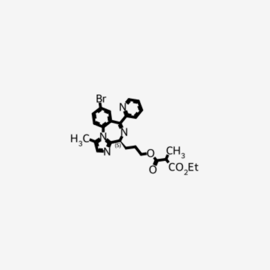 CCOC(=O)C(C)C(=O)OCCC[C@@H]1N=C(c2ccccn2)c2cc(Br)ccc2-n2c(C)cnc21